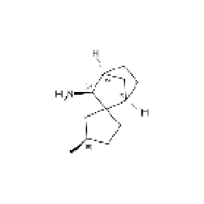 C[C@@H]1CCC2(C1)[C@@H]1CC[C@@H](C1)[C@@H]2N